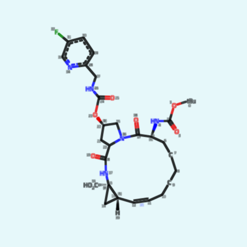 CC(C)(C)OC(=O)N[C@H]1CCCCC/C=C\[C@@H]2C[C@@]2(C(=O)O)NC(=O)C2C[C@@H](OC(=O)NCc3ccc(F)cn3)CN2C1=O